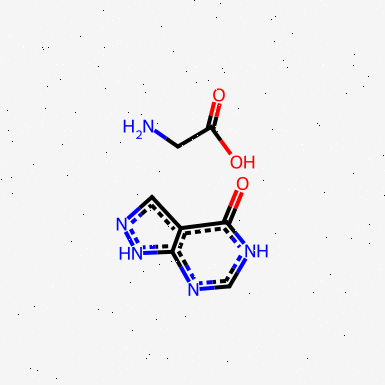 NCC(=O)O.O=c1[nH]cnc2[nH]ncc12